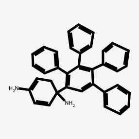 NC1=CCC(N)(c2cc(-c3ccccc3)c(-c3ccccc3)c(-c3ccccc3)c2-c2ccccc2)C=C1